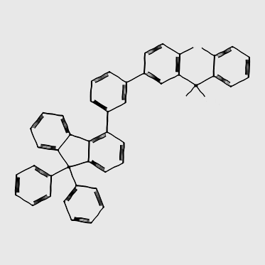 CC1(C)c2ccccc2Oc2ccc(-c3cccc(-c4cccc5c4-c4ccccc4C5(c4ccccc4)c4ccccc4)c3)cc21